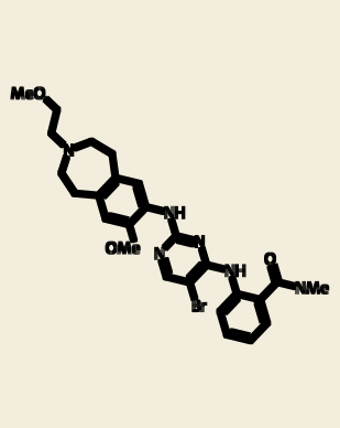 CNC(=O)c1ccccc1Nc1nc(Nc2cc3c(cc2OC)CCN(CCOC)CC3)ncc1Br